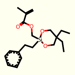 C=C(C)C(=O)OC[Si]1(CCc2ccccc2)OCC(CC)(CC)CO1